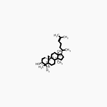 CC(C)=CCCC(C)[C@H]1CC[C@@]2(C)C3CC[C@H]4C(C)(C)[C@@H](O)CC[C@@]45C[C@@]35CC[C@]12C